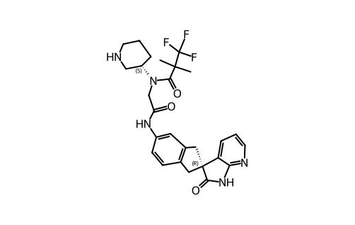 CC(C)(C(=O)N(CC(=O)Nc1ccc2c(c1)C[C@@]1(C2)C(=O)Nc2ncccc21)[C@H]1CCCNC1)C(F)(F)F